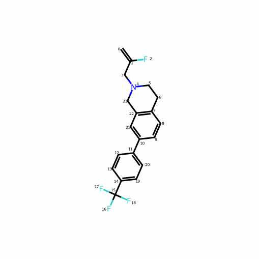 C=C(F)CN1CCc2ccc(-c3ccc(C(F)(F)F)cc3)cc2C1